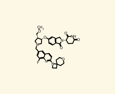 COC[C@@H]1CN(Cc2cc(F)c3nc(N4CCC45CCOCC5)ccc3c2)C[C@H]1Oc1ccc2c(c1)CN([C@H]1CCC(=O)NC1=O)C2=O